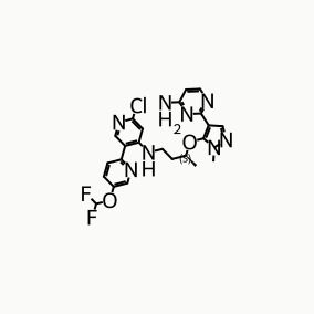 C[C@@H](CCNc1cc(Cl)ncc1-c1ccc(OC(F)F)cn1)Oc1c(-c2nccc(N)n2)cnn1C